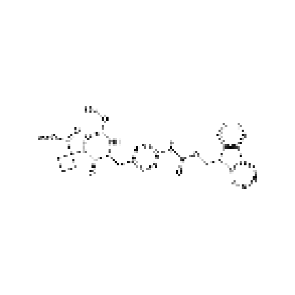 COC(=O)C1(NC(=O)[C@H](Cc2ccc(NC(=O)OCC3c4ccccc4-c4ccccc43)cc2)NC(=O)OC(C)(C)C)CCC1